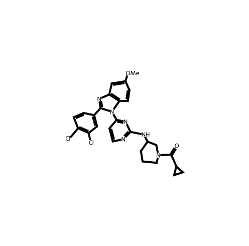 COc1ccc2c(c1)nc(-c1ccc(Cl)c(Cl)c1)n2-c1ccnc(NC2CCCN(C(=O)C3CC3)C2)n1